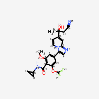 COc1cc(-c2cnc3cc(C(C)(O)CC#N)ccn23)cc(OC(F)F)c1C(=O)NC1CC1